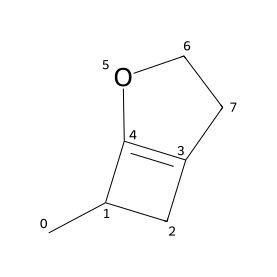 CC1CC2=C1OCC2